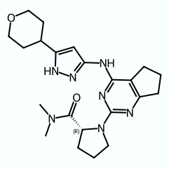 CN(C)C(=O)[C@H]1CCCN1c1nc2c(c(Nc3cc(C4CCOCC4)[nH]n3)n1)CCC2